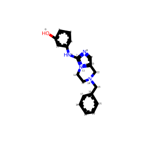 Oc1cccc(Nc2ncc3n2CCN(Cc2ccccc2)C3)c1